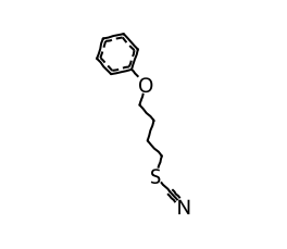 N#CSCCCCOc1ccccc1